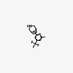 Cc1cc(C(F)(F)F)cc(N2C3CCC2CNC3)n1